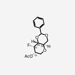 CC(=O)O[C@H]1CO[C@@H]2COC(c3ccccc3)O[C@H]2[C@H]1F